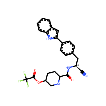 N#C[C@H](Cc1ccc(-c2cc3ccccc3[nH]2)cc1)NC(=O)C1CCC(OC(=O)C(F)(F)F)CN1